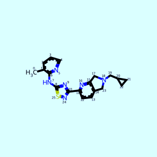 Cc1cccnc1Nc1nc(-c2ccc3c(n2)CN(CC2CC2)C3)ns1